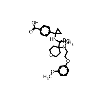 COc1cccc(OCCN(C)C2(C(=O)NC3(c4ccc(C(=O)O)cc4)CC3)CCOCC2)c1.Cl